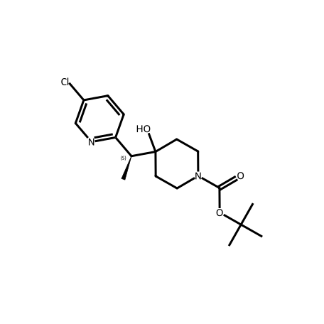 C[C@@H](c1ccc(Cl)cn1)C1(O)CCN(C(=O)OC(C)(C)C)CC1